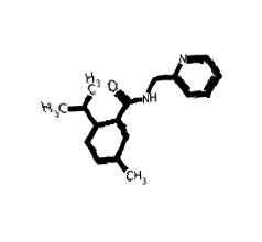 CC1CCC(C(C)C)C(C(=O)NCc2ccccn2)C1